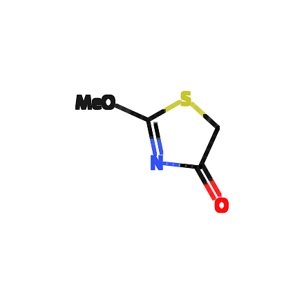 COC1=NC(=O)CS1